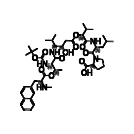 CN[C@@H](Cc1ccc2ccccc2c1)C(=O)O[C@H](C)[C@H](NC(=O)OC(C)(C)C)C(=O)N[C@H](C(C)C)[C@@H](O)CC(=O)O[C@H](C(=O)N[C@@H](CC(C)C)C(=O)N1CCC[C@H]1C(=O)O)C(C)C